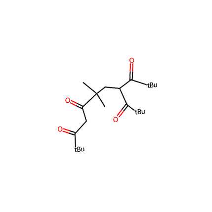 CC(C)(C)C(=O)CC(=O)C(C)(C)CC(C(=O)C(C)(C)C)C(=O)C(C)(C)C